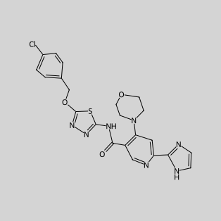 O=C(Nc1nnc(OCc2ccc(Cl)cc2)s1)c1cnc(-c2ncc[nH]2)cc1N1CCOCC1